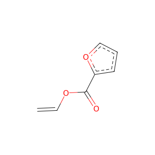 C=COC(=O)c1ccco1